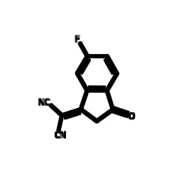 N#CC(C#N)=C1CC(=O)c2ccc(F)cc21